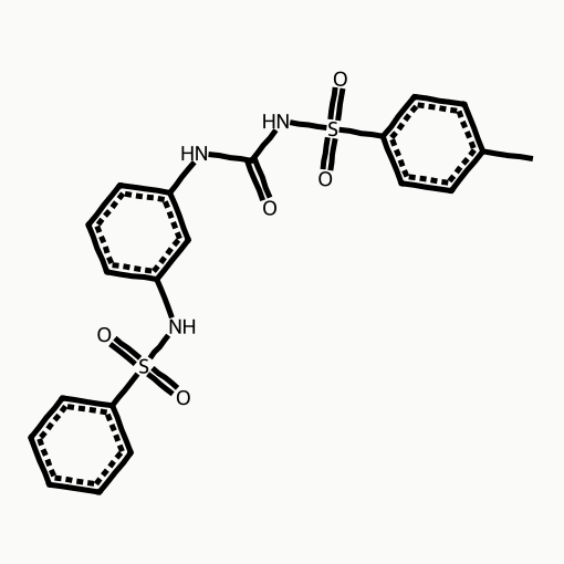 Cc1ccc(S(=O)(=O)NC(=O)Nc2cccc(NS(=O)(=O)c3ccccc3)c2)cc1